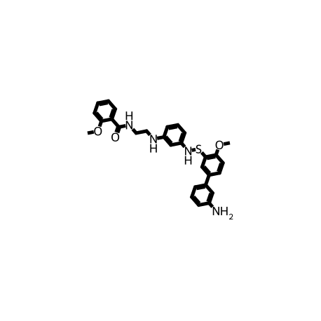 COc1ccc(-c2cccc(N)c2)cc1SNc1cccc(NCCNC(=O)c2ccccc2OC)c1